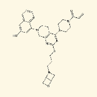 C=CC(=O)N1CCN(c2nc(OCCCN3CC4OCC43)nc3c2CCN(c2cc(O)cc4ccccc24)C3)CC1